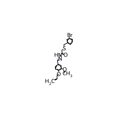 C=CCOc1ccc(/C=N/NC(=O)CSCc2cccc(Br)c2)cc1OC